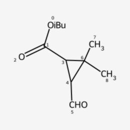 CC(C)COC(=O)C1C(C=O)C1(C)C